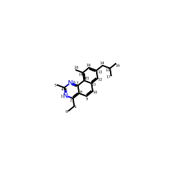 CCc1nc(C)nc2c1ccc1cc(CC(C)C)cc(C)c12